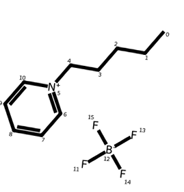 CCCCC[n+]1ccccc1.F[B-](F)(F)F